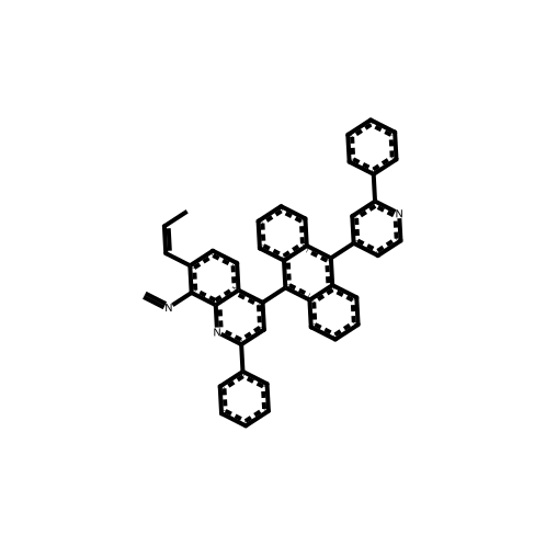 C=Nc1c(/C=C\C)ccc2c(-c3c4ccccc4c(-c4ccnc(-c5ccccc5)c4)c4ccccc34)cc(-c3ccccc3)nc12